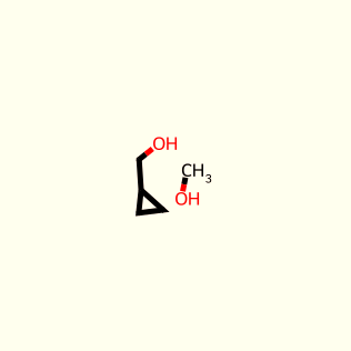 CO.OCC1CC1